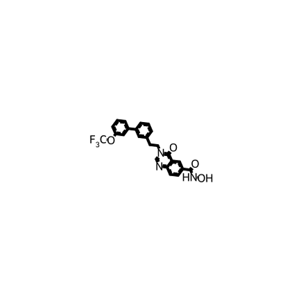 O=C(NO)c1ccc2ncn(CCc3cccc(-c4cccc(OC(F)(F)F)c4)c3)c(=O)c2c1